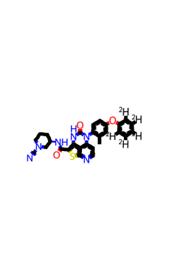 [2H]c1c([2H])c([2H])c(Oc2ccc(N3C(=O)Nc4c(C(=O)N[C@@H]5CCCN(C#N)C5)sc5nccc3c45)c(C)c2)c([2H])c1[2H]